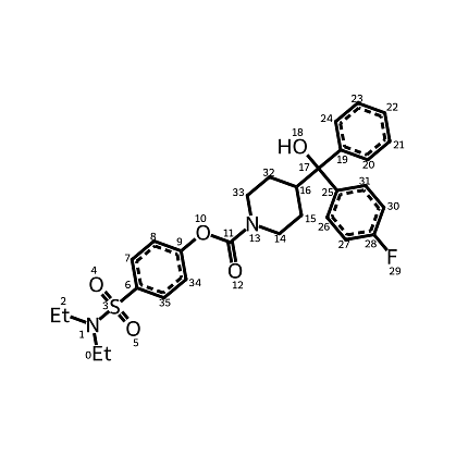 CCN(CC)S(=O)(=O)c1ccc(OC(=O)N2CCC(C(O)(c3ccccc3)c3ccc(F)cc3)CC2)cc1